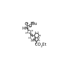 CCOC(=O)c1cc2cccc3c2n1CCN3C1CC(NC(=O)OC(C)(C)C)C1